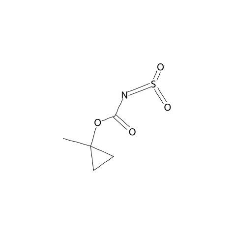 CC1(OC(=O)N=S(=O)=O)CC1